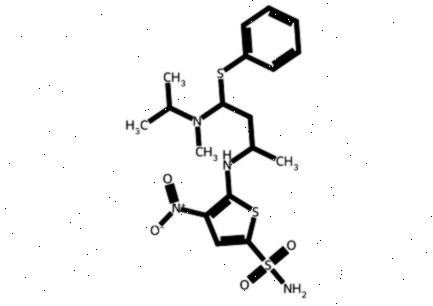 CC(CC(Sc1ccccc1)N(C)C(C)C)Nc1sc(S(N)(=O)=O)cc1[N+](=O)[O-]